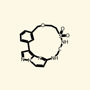 O=S1(=O)CCOCc2cccc(c2)-c2cnn3ccc(nc23)NCCN1